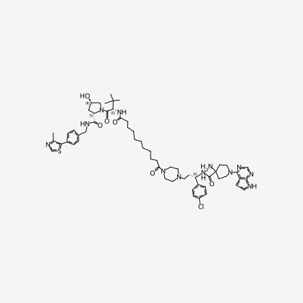 Cc1ncsc1-c1ccc(CNC(=O)[C@@H]2C[C@@H](O)CN2C(=O)[C@@H](NC(=O)CCCCCCCCCC(=O)N2CCN(CC[C@H](NC(=O)C3(N)CCN(c4ncnc5[nH]ccc45)CC3)c3ccc(Cl)cc3)CC2)C(C)(C)C)cc1